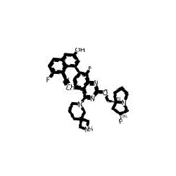 C#Cc1c(F)ccc2cc(O)cc(-c3ccc4c(N5CCCC6(CNC6)C5)nc(OC[C@@]56CCCN5C[C@H](F)C6)nc4c3F)c12